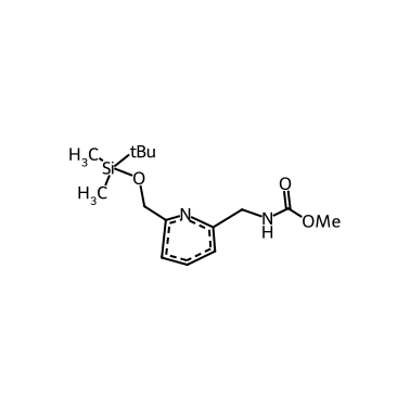 COC(=O)NCc1cccc(CO[Si](C)(C)C(C)(C)C)n1